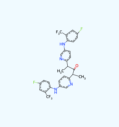 CC(C(=O)C(C)c1ccc(Nc2ccc(F)cc2C(F)(F)F)cn1)c1ccc(Nc2ccc(F)cc2C(F)(F)F)cn1